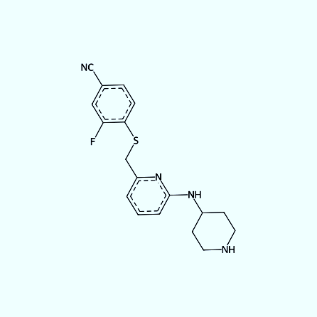 N#Cc1ccc(SCc2cccc(NC3CCNCC3)n2)c(F)c1